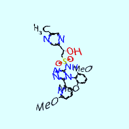 COc1cccc(-c2nnc(NS(=O)(=O)C[C@@H](O)c3cnc(C)cn3)n2-c2c(OC)cccc2OC)n1